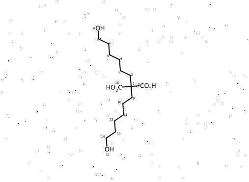 O=C(O)C(CCCCCCO)(CCCCCCO)C(=O)O